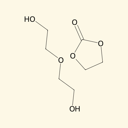 O=C1OCCO1.OCCOCCO